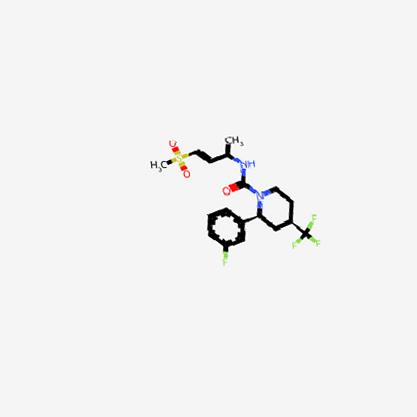 CC(/C=C/S(C)(=O)=O)NC(=O)N1CC[C@@H](C(F)(F)F)C[C@H]1c1cccc(F)c1